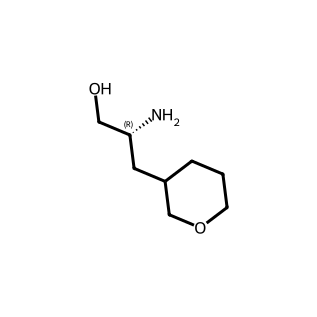 N[C@@H](CO)CC1CCCOC1